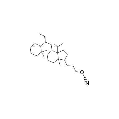 CC[C@@H](CC1CCCC2(C)C(CCCOC#N)CCC12C(C)C)C1CCCCC1(C)C